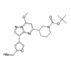 COc1cc(C2CCCN(C(=O)OC(C)(C)C)C2)nc2c(-c3coc(C=N)c3)cnn12